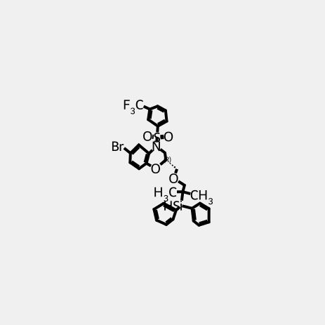 CC(C)(COC[C@H]1CN(S(=O)(=O)c2cccc(C(F)(F)F)c2)c2cc(Br)ccc2O1)[SiH](c1ccccc1)c1ccccc1